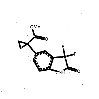 COC(=O)C1(c2ccc3c(c2)C(F)(F)C(=O)N3)CC1